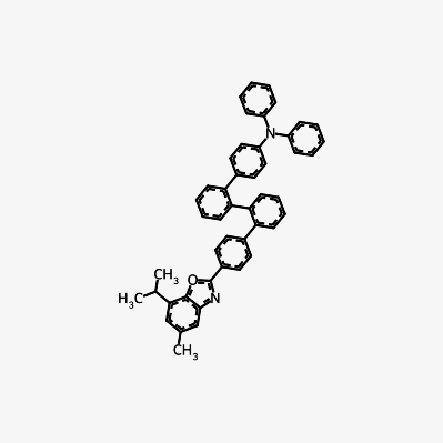 Cc1cc(C(C)C)c2oc(-c3ccc(-c4ccccc4-c4ccccc4-c4ccc(N(c5ccccc5)c5ccccc5)cc4)cc3)nc2c1